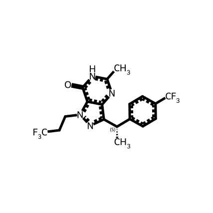 Cc1nc2c([C@@H](C)c3ccc(C(F)(F)F)cc3)nn(CCC(F)(F)F)c2c(=O)[nH]1